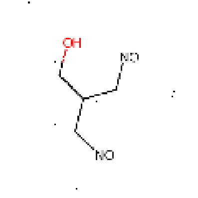 O=NCC(CO)CN=O